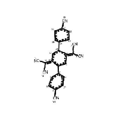 N#CC(C#N)=c1cc(-c2ccc(C#N)cc2)c(=C(C#N)C#N)cc1-c1ccc(C#N)cc1